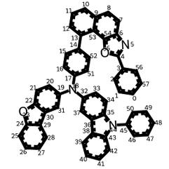 c1ccc(-c2nc3ccc4cccc(-c5ccc(N(c6ccc7oc8ccccc8c7c6)c6ccc7c(c6)c6ccccc6n7-c6ccccc6)cc5)c4c3o2)cc1